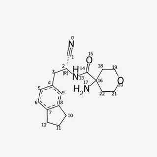 N#C[C@@H](Cc1ccc2c(c1)CCC2)NC(=O)C1(N)CCOCC1